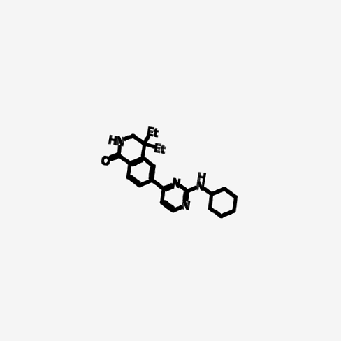 CCC1(CC)CNC(=O)c2ccc(-c3ccnc(NC4CCCCC4)n3)cc21